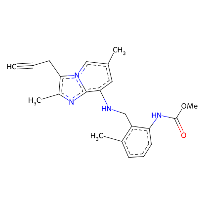 C#CCc1c(C)nc2c(NCc3c(C)cccc3NC(=O)OC)cc(C)cn12